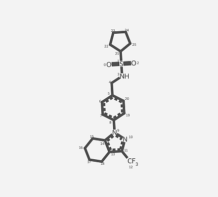 O=S(=O)(NCc1ccc(-n2nc(C(F)(F)F)c3c2CCCC3)cc1)C1CCCC1